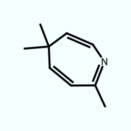 CC1=NC=CC(C)(C)C=C1